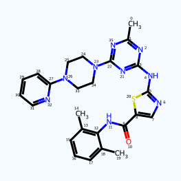 Cc1nc(Nc2ncc(C(=O)Nc3c(C)cccc3C)s2)nc(N2CCN(c3ccccn3)CC2)n1